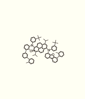 Cc1ccccc1-c1cccc(-c2cccc(N(c3cccc(C(C)(C)C)c3)c3cc(C(C)C)c4ccc5c(N(c6cccc(C(C)(C)C)c6)c6cccc7c6oc6c(-c8ccccc8C)cccc67)cc(C(C)C)c6ccc3c4c65)c2O)c1